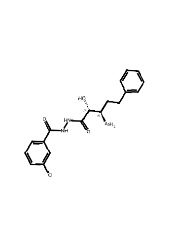 O=C(NNC(=O)[C@H](O)[C@H]([AsH2])CCc1ccccc1)c1cccc(Cl)c1